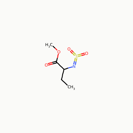 CCC(N=S(=O)=O)C(=O)OC